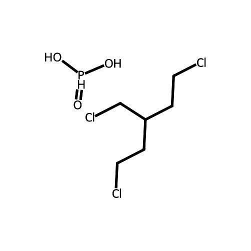 ClCCC(CCl)CCCl.O=[PH](O)O